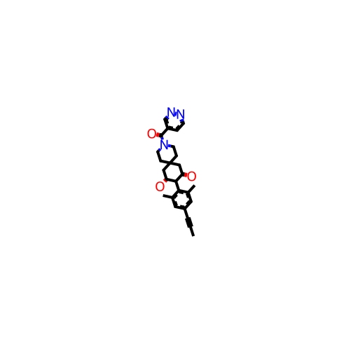 CC#Cc1cc(C)c(C2C(=O)CC3(CCN(C(=O)c4ccnnc4)CC3)CC2=O)c(C)c1